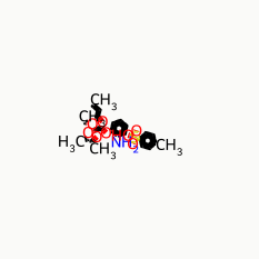 CCCCOC(Oc1ccccc1N)C(OCC)(OCC)OCC.Cc1ccc(S(=O)(=O)O)cc1